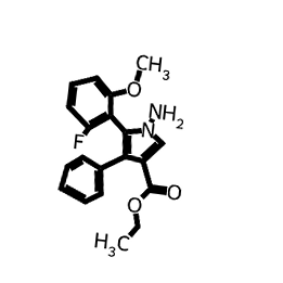 CCOC(=O)c1cn(N)c(-c2c(F)cccc2OC)c1-c1ccccc1